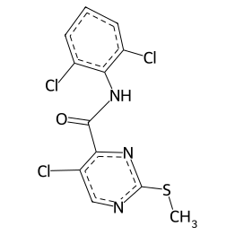 CSc1ncc(Cl)c(C(=O)Nc2c(Cl)cccc2Cl)n1